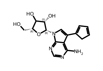 Nc1ncnc2c1c(C1=CC=CC1)cn2[C@@H]1O[C@H](CO)C(O)[C@@H]1O